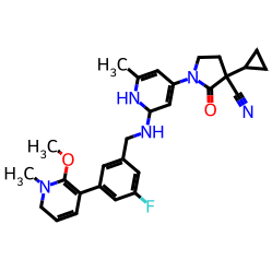 COC1=C(c2cc(F)cc(CNC3C=C(N4CCC(C#N)(C5CC5)C4=O)C=C(C)N3)c2)C=CCN1C